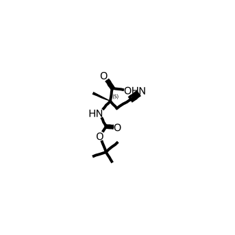 CC(C)(C)OC(=O)N[C@@](C)(CC#N)C(=O)O